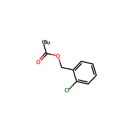 CC(C)(C)C(=O)OCc1ccccc1Cl